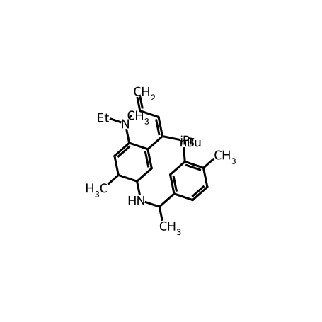 C=C/C=C(\C1=CC(NC(C)c2ccc(C)c(CCCC)c2)C(C)C=C1N(C)CC)C(C)C